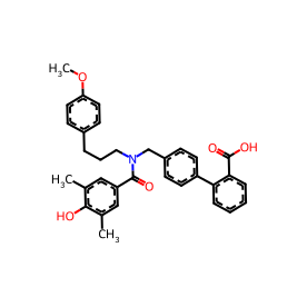 COc1ccc(CCCN(Cc2ccc(-c3ccccc3C(=O)O)cc2)C(=O)c2cc(C)c(O)c(C)c2)cc1